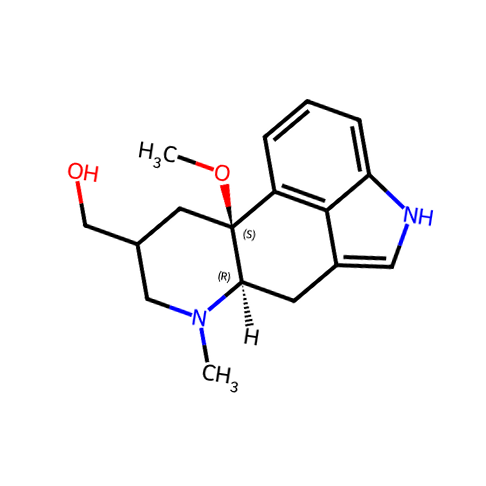 CO[C@]12CC(CO)CN(C)[C@@H]1Cc1c[nH]c3cccc2c13